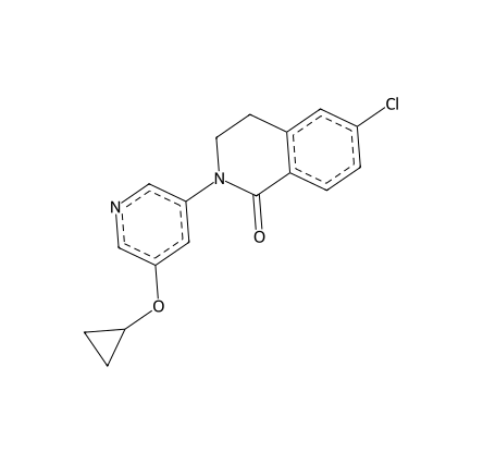 O=C1c2ccc(Cl)cc2CCN1c1cncc(OC2CC2)c1